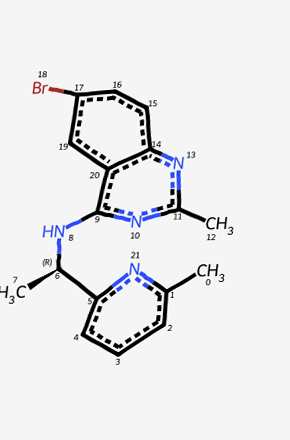 Cc1cccc([C@@H](C)Nc2nc(C)nc3ccc(Br)cc23)n1